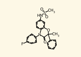 CC1(c2ccccc2)Oc2cc(NS(C)(=O)=O)ccc2N(c2ccc(F)cc2)C1=O